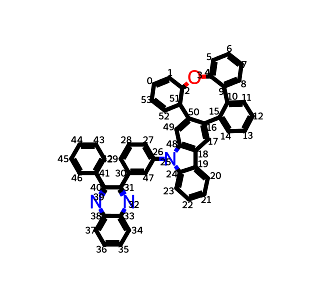 C1=CC2Oc3ccccc3-c3ccccc3-c3cc4c5ccccc5n(-c5cccc(-c6nc7ccccc7nc6-c6ccccc6)c5)c4cc3C2C=C1